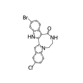 O=C1NCCn2c(cc3cc(Cl)ccc32)-c2[nH]c3cc(Br)ccc3c21